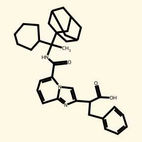 CC(NC(=O)c1cccc2nc(C(Cc3ccccc3)C(=O)O)cn12)(C1CCCCC1)C12CC3CC(CC(C3)C1)C2